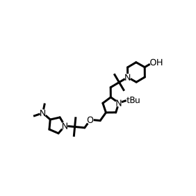 CN(C)C1CCN(C(C)(C)COCC2CC(CC(C)(C)N3CCC(O)CC3)N(C(C)(C)C)C2)C1